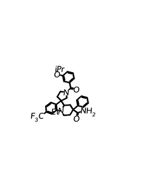 CCN1CCC(C(N)=O)(c2ccccc2)CC1C1(c2ccc(C(F)(F)F)cc2)CCN(C(=O)c2cccc(OC(C)C)c2)C1